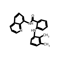 Cc1cccc(Nc2ccccc2C(=O)Nc2cccc3cccnc23)c1C